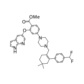 COC(=O)c1ccc(N2CCN(CC3=C(c4ccc(C(F)F)cc4)CC(C)(C)CC3)CC2)cc1Oc1cnc2[nH]ccc2c1